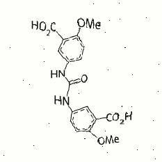 COc1ccc(NC(=O)Nc2ccc(OC)c(C(=O)O)c2)cc1C(=O)O